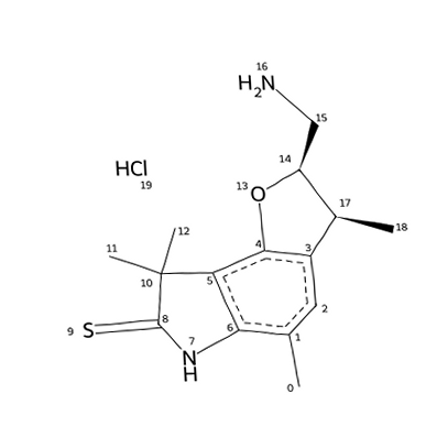 Cc1cc2c(c3c1NC(=S)C3(C)C)O[C@@H](CN)[C@H]2C.Cl